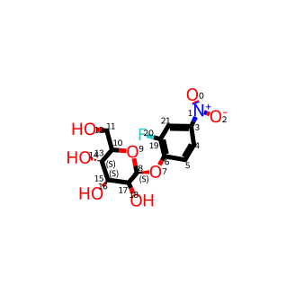 O=[N+]([O-])c1ccc(O[C@@H]2OC(CO)[C@@H](O)[C@H](O)C2O)c(F)c1